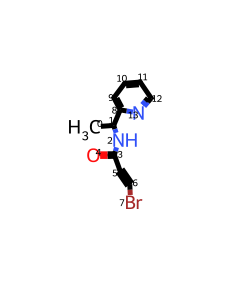 CC(NC(=O)C#CBr)c1ccccn1